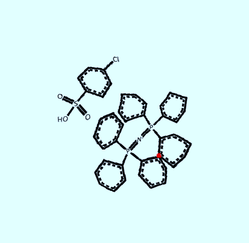 O=S(=O)(O)c1ccc(Cl)cc1.c1ccc(P(=[N+]=P(c2ccccc2)(c2ccccc2)c2ccccc2)(c2ccccc2)c2ccccc2)cc1